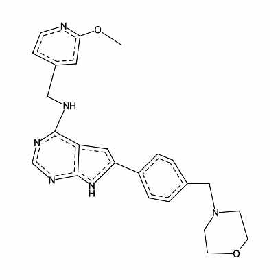 COc1cc(CNc2ncnc3[nH]c(-c4ccc(CN5CCOCC5)cc4)cc23)ccn1